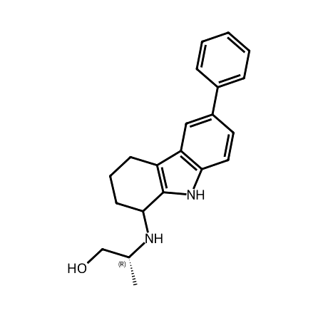 C[C@H](CO)NC1CCCc2c1[nH]c1ccc(-c3ccccc3)cc21